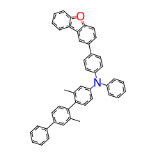 Cc1cc(-c2ccccc2)ccc1-c1ccc(N(c2ccccc2)c2ccc(-c3ccc4oc5ccccc5c4c3)cc2)cc1C